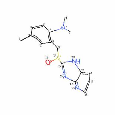 Cc1ccc(N(C)C)c(C[S+]([O-])c2nc3ncccc3[nH]2)c1